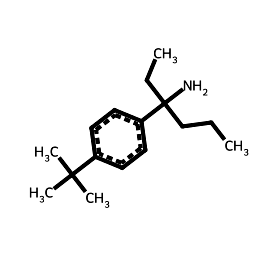 CCCC(N)(CC)c1ccc(C(C)(C)C)cc1